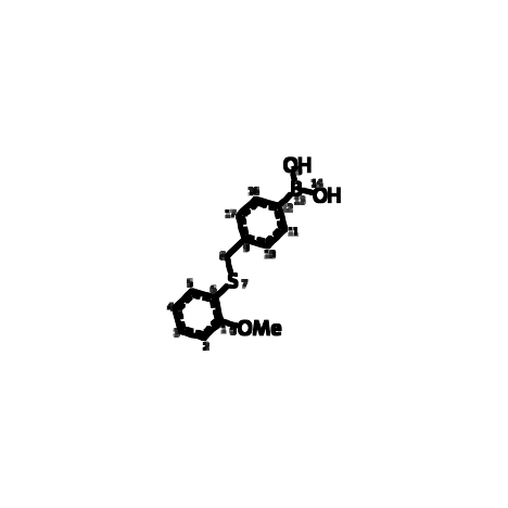 COc1ccccc1SCc1ccc(B(O)O)cc1